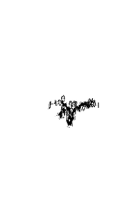 CC(C)(C)OC(=O)NC(CCC(=O)O)C(=O)N1c2ncccc2CC1C(=O)NCc1nn[nH]n1